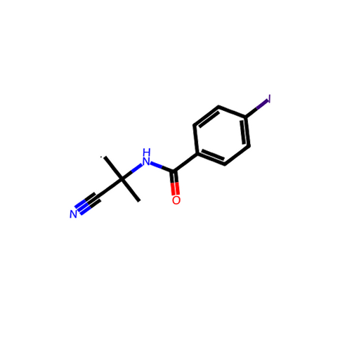 [CH2]C(C)(C#N)NC(=O)c1ccc(I)cc1